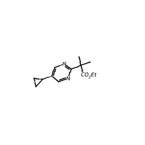 CCOC(=O)C(C)(C)c1ncc(C2CC2)cn1